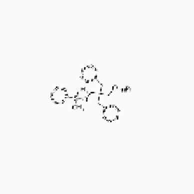 CCCOCC(CO[Si](C)(C)c1ccccc1)(Cc1ccccc1)Cc1ccccc1